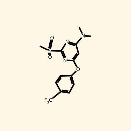 CN(C)c1cc(Oc2ccc(C(F)(F)F)cc2)nc(S(C)(=O)=O)n1